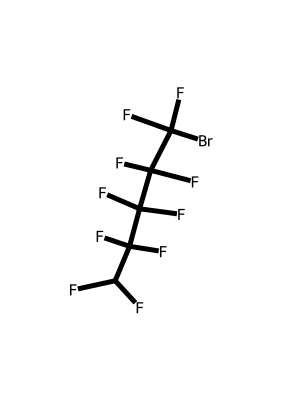 FC(F)C(F)(F)C(F)(F)C(F)(F)C(F)(F)Br